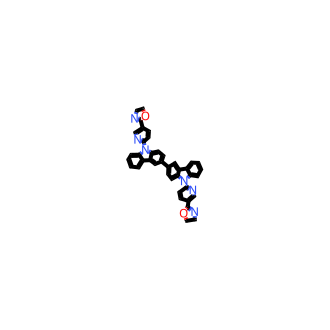 c1ccc2c(c1)c1cc(-c3ccc4c(c3)c3ccccc3n4-c3ccc(C4=NCCO4)cn3)ccc1n2-c1ccc(C2=NCCO2)cn1